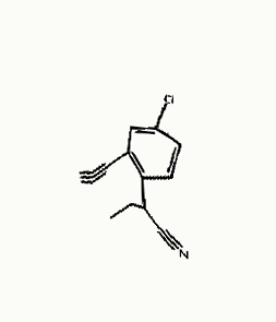 C#Cc1cc(Cl)ccc1C(C)C#N